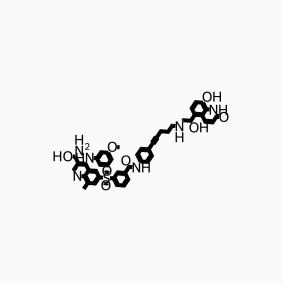 COc1cccc(Nc2c(C(N)O)cnc3c(C)cc(S(=O)(=O)c4cccc(C(=O)Nc5ccc(C#CCCCNC[C@H](O)c6ccc(O)c7[nH]c(=O)ccc67)cc5)c4)cc23)c1